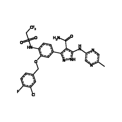 Cc1cnc(Nc2[nH]nc(-c3ccc(NS(=O)(=O)CC(F)(F)F)c(OCc4ccc(F)c(Cl)c4)c3)c2C(N)=O)cn1